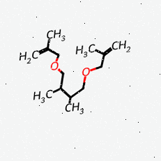 C=C(C)COCC(C)C(C)COCC(=C)C